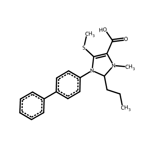 CCCC1N(C)C(C(=O)O)=C(SC)N1c1ccc(-c2ccccc2)cc1